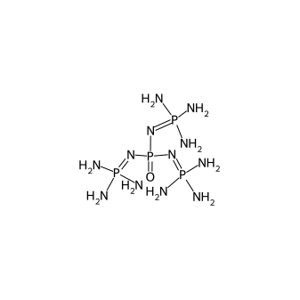 NP(N)(N)=NP(=O)(N=P(N)(N)N)N=P(N)(N)N